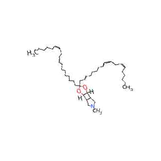 CCCCC/C=C\C/C=C\CCCCCCCCC1(CCCCCCCC/C=C\C/C=C\CCCCC)O[C@@H]2C3CN(C)CC3[C@H]2O1